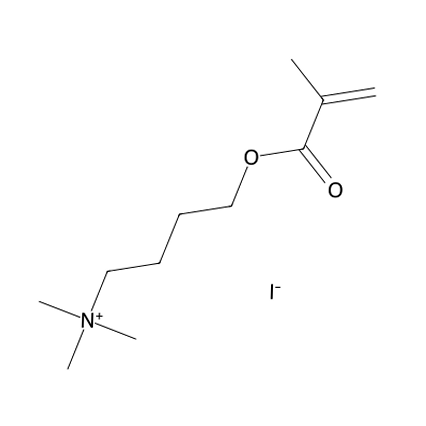 C=C(C)C(=O)OCCCC[N+](C)(C)C.[I-]